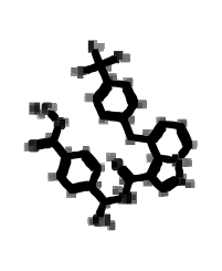 COC(=O)c1ccc([C@H](C)NC(=O)c2cnn3cccc(Cc4ccc(C(F)(F)F)cc4)c23)cc1